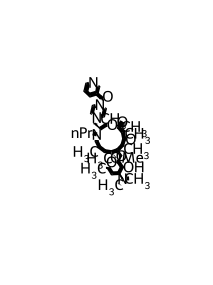 CCCN1C[C@H](C)C[C@@](C)(OC)[C@H](O[C@@H]2O[C@H](C)C[C@H](N(C)C)[C@H]2O)[C@@H](C)C(=O)C(C)(C)C(=O)O[C@@H](C)[C@@H]1CN1CCN(C(=O)c2cccnc2)CC1